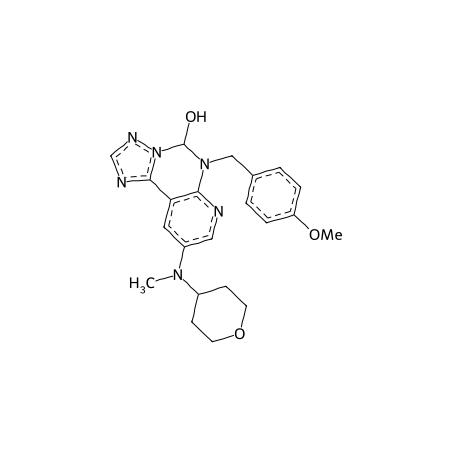 COc1ccc(CN2c3ncc(N(C)C4CCOCC4)cc3-c3ncnn3C2O)cc1